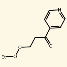 CCOOCCC(=O)c1ccncc1